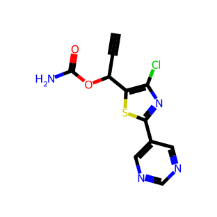 C#CC(OC(N)=O)c1sc(-c2cncnc2)nc1Cl